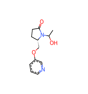 CC(O)N1C(=O)CC[C@H]1COc1cccnc1